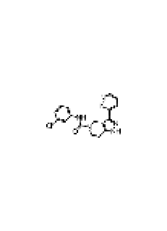 O=C(Nc1cccc(Cl)c1)N1CCc2[nH]nc(-c3cccnn3)c2C1